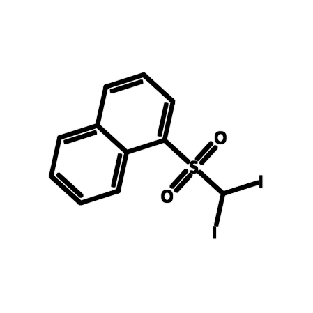 O=S(=O)(c1cccc2ccccc12)C(I)I